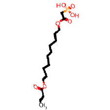 CC=CC(=O)OCCCCCCCCCCOC(=O)CP(=O)(O)O